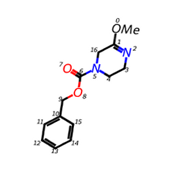 COC1=NCCN(C(=O)OCc2ccccc2)C1